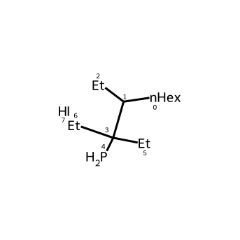 CCCCCCC(CC)C(P)(CC)CC.I